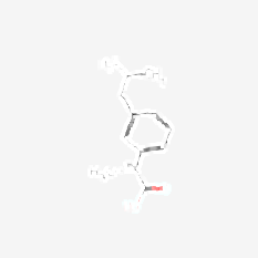 CC(C)Cc1cccc([C@@H](C)C(=O)O)c1